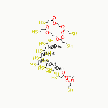 CC(COC(=O)CCS)OC(=O)CCS.CCCCCCC(S)S.CCCCCCCC(S)S.CCCCCCCCC(S)S.CCCCCCCCCC(S)S.CCCCCCCCCCC(S)S.CCCCCCCCCCCC(S)S.O=C(CCS)OCCCOC(=O)CCS.O=C(CCS)OCCOC(=O)CCS